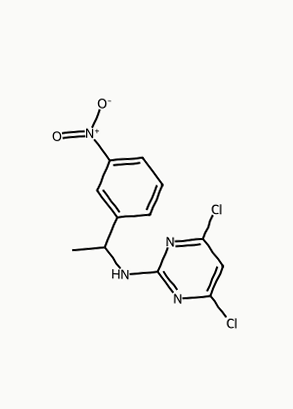 CC(Nc1nc(Cl)cc(Cl)n1)c1cccc([N+](=O)[O-])c1